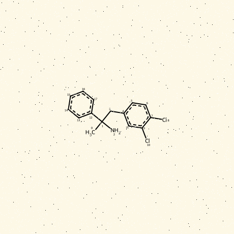 CC(N)(Cc1ccc(Cl)c(Cl)c1)c1ccccc1